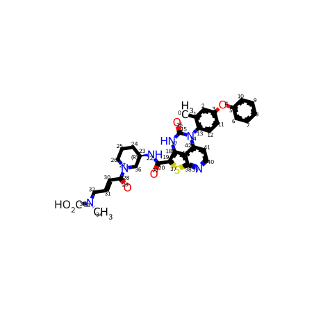 Cc1cc(Oc2ccccc2)ccc1N1C(=O)Nc2c(C(=O)N[C@@H]3CCCN(C(=O)C=CCN(C)C(=O)O)C3)sc3nccc1c23